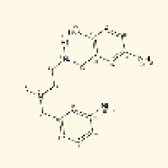 CCN(CCN(C)Cc1cccc(N)c1)Cc1cc(N)ccc1O